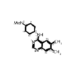 CN[C@H]1CC[C@H](Nc2ncnc3cc(C)c(C)cc23)CC1